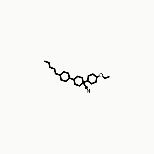 CCCCCC1CCC(C2CCC(C#N)(C3CCC(OCC)CC3)CC2)CC1